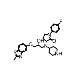 Cc1nc2cc(OC[C@H](O)CN(C3CCNCC3)[C@@H]3CCN(c4ccc(F)cc4)C3=O)ccc2s1